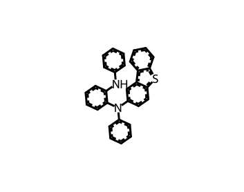 c1ccc(Nc2ccccc2N(c2ccccc2)c2ccc3sc4ccccc4c3c2)cc1